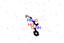 CC(C)CNC(=O)C(O)C(C)NC(=O)c1ccccc1